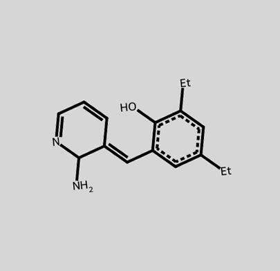 CCc1cc(C=C2C=CC=NC2N)c(O)c(CC)c1